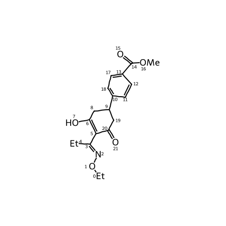 CCON=C(CC)C1=C(O)CC(c2ccc(C(=O)OC)cc2)CC1=O